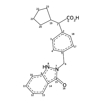 O=C(O)C(c1ccc(Cn2[nH]c3ccccc3c2=O)cc1)C1CCCC1